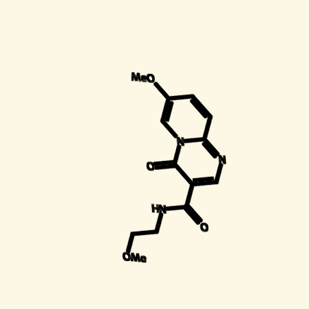 COCCNC(=O)c1cnc2ccc(OC)cn2c1=O